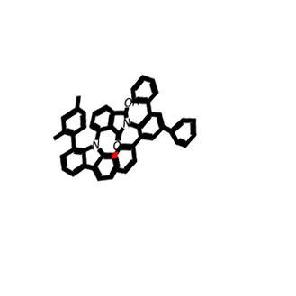 Cc1ccc(-c2cccc3c4ccccc4n(-c4cccc5c4C(=O)N(c4c(-c6ccccc6)cc(-c6ccccc6)cc4-c4ccccc4)C5O)c23)c(C)c1